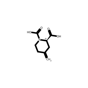 C=C1CCN(C(=O)O)[C@@H](C(=O)O)C1